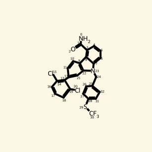 NC(=O)c1cccc2c1c1[c]cc(-c3c(Cl)cccc3Cl)cc1n2Cc1ccc(SC(F)(F)F)cc1